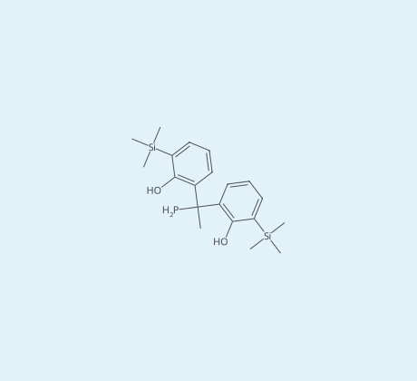 CC(P)(c1cccc([Si](C)(C)C)c1O)c1cccc([Si](C)(C)C)c1O